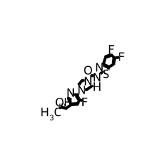 C[C@H](O)Cc1cnc(N2CCN(C(=O)Nc3nc4cc(F)c(F)cc4s3)CC2)c(F)c1